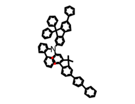 CC1(C)c2cc(-c3ccc(-c4ccccc4)cc3)ccc2-c2ccc(N(c3ccc4c(c3)C(c3ccccc3)(c3ccccc3)c3cc(-c5ccccc5)ccc3-4)c3ccccc3-c3ccccc3)cc21